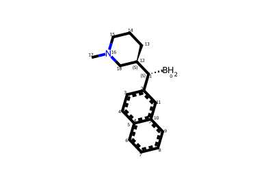 B[C@H](c1ccc2ccccc2c1)[C@@H]1CCCN(C)C1